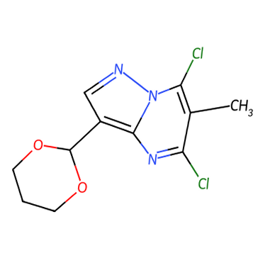 Cc1c(Cl)nc2c(C3OCCCO3)cnn2c1Cl